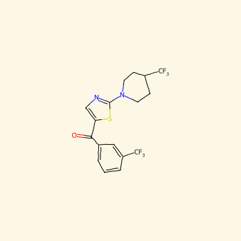 O=C(c1cccc(C(F)(F)F)c1)c1cnc(N2CCC(C(F)(F)F)CC2)s1